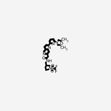 C[C@@H]1CN(c2cccc(-c3ccc4cnc(CC(=O)NCC5CCCN(S(=O)(=O)C(F)F)C5)cc4n3)n2)C[C@H](C)O1